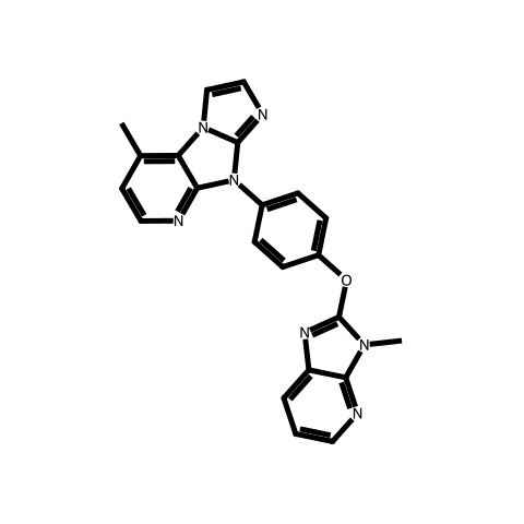 Cc1ccnc2c1n1ccnc1n2-c1ccc(Oc2nc3cccnc3n2C)cc1